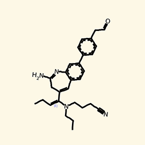 CC/C=C(\C1=Cc2ccc(-c3ccc(CC=O)cc3)cc2N=C(N)C1)N(CCC)CCCC#N